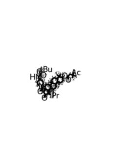 CC(=O)C(C)(C)CC(=O)O[C@H]1CC[C@@]2(C)C(CCC3(C)C2CC[C@@H]2C4=C(C(C)C)C(=O)C[C@]4(C(=O)N4CCC(NC(=O)OC(C)(C)C)CC4)CC[C@]23C)C1(C)C